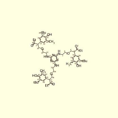 CCC(=O)C(COCCNc1nc(NCCOCC(C(=O)CC)c2cc(C)c(O)c(C(C)(C)C)c2)nc(NCCOCC(C(=O)CC)c2cc(C)c(O)c(C(C)(C)C)c2)n1)c1cc(C)c(O)c(C(C)(C)C)c1